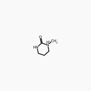 [CH2-][NH+]1CCCNC1=O